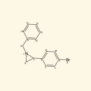 Brc1ccc(C2CN2Cc2ccccc2)cc1